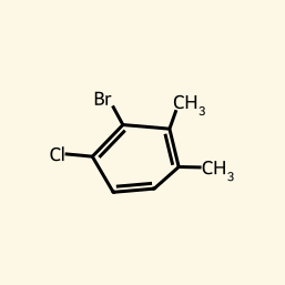 Cc1ccc(Cl)c(Br)c1C